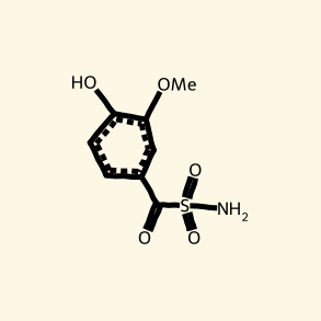 COc1cc(C(=O)S(N)(=O)=O)ccc1O